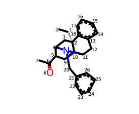 CC[C@@]12CC3C(C(C)=O)CC1C(Cc1ccccc12)N3Cc1ccccc1